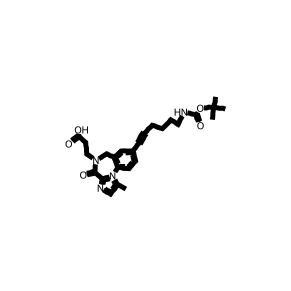 Cc1cnc2n1-c1ccc(C#CCCCCNC(=O)OC(C)(C)C)cc1CN(CCC(=O)O)C2=O